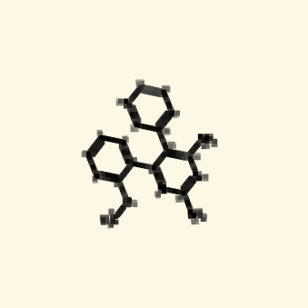 COc1ccccc1-c1nc(N)nc(N)c1-c1cccnc1